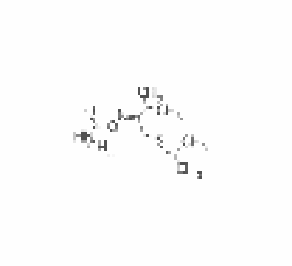 CNC(=O)ON=C(CSCC(C)C)C(C)C